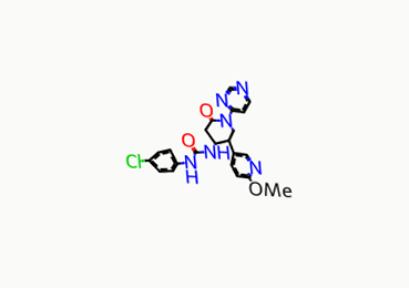 COc1ccc(C2CN(c3ccncn3)C(=O)CC2NC(=O)Nc2ccc(Cl)cc2)cn1